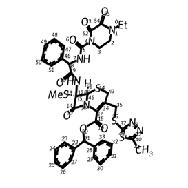 CCN1CCN(C(=O)NC(C(=O)N[C@]2(SC)C(=O)N3C(C(=O)OC(c4ccccc4)c4ccccc4)=C(CSc4nnc(C)s4)CS[C@@H]32)c2ccccc2)C(=O)C1=O